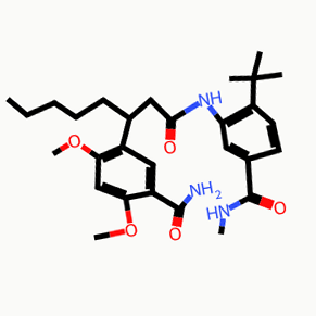 CCCCCC(CC(=O)Nc1cc(C(=O)NC)ccc1C(C)(C)C)c1cc(C(N)=O)c(OC)cc1OC